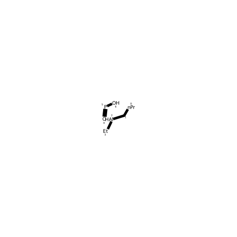 CCC[CH2][AlH][CH2]C.O=PO